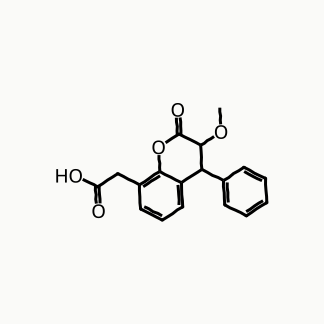 COC1C(=O)Oc2c(CC(=O)O)cccc2C1c1ccccc1